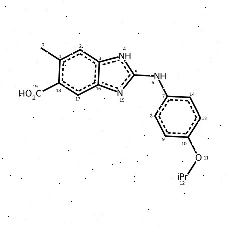 Cc1cc2[nH]c(Nc3ccc(OC(C)C)cc3)nc2cc1C(=O)O